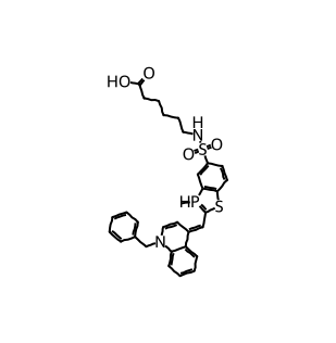 C[PH]1=C(/C=C2\C=CN(Cc3ccccc3)c3ccccc32)Sc2ccc(S(=O)(=O)NCCCCCC(=O)O)cc21